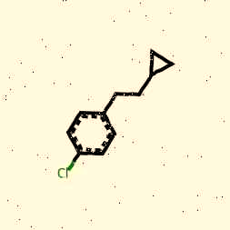 Clc1ccc(C[CH]C2CC2)cc1